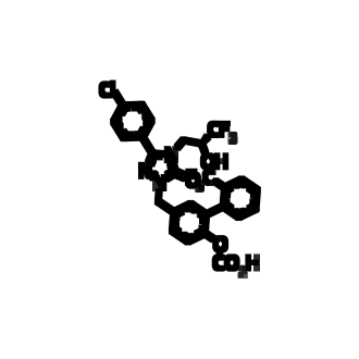 O=C(O)Oc1ccc(Cn2nc(-c3ccc(Cl)cc3)n(C[C@H](O)C(F)(F)F)c2=O)cc1-c1ccccc1C(F)(F)F